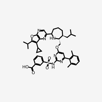 Cc1cccc(C)c1-c1cc(OC[C@@H]2NC(c3cnc4oc(C(C)C)c(C5CC5)c4n3)CCC[C@H]2CC(C)C)nc(NS(=O)(=O)c2cccc(C(=O)O)c2)n1